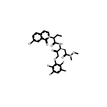 CCC(C(=O)N[C@@H](CC(=O)N(C)OC)C(=O)COc1c(F)c(F)cc(F)c1F)n1ccc2ccc(Cl)cc2c1=O